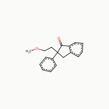 COCCC1(c2ccccc2)Cc2ccccc2C1=O